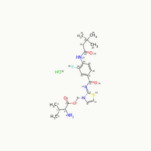 CC(C)C(N)C(=O)OCn1ccs/c1=N\C(=O)c1ccc(NC(=O)CC(C)(C)C)c(F)c1.Cl